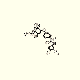 CNc1ncc2c(n1)N1CCN=C1C(Oc1ccc(NC(=O)Nc3ccc(Cl)c(C(F)(F)F)c3)cc1)=C2